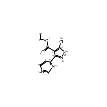 CCOC(=O)c1c(-c2ccncn2)n[nH]c1Cl